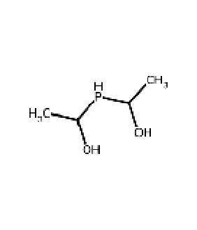 CC(O)PC(C)O